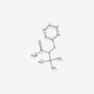 CC(C)(C)C(Cc1cc[c]cc1)C(N)=O